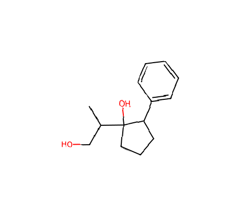 CC(CO)C1(O)CCCC1c1ccccc1